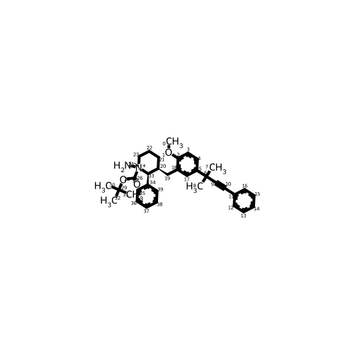 COc1ccc(C(C)(C)C#Cc2ccccc2)cc1C[C@@H]1CCC[N+](N)(C(=O)OC(C)(C)C)[C@@H]1c1ccccc1